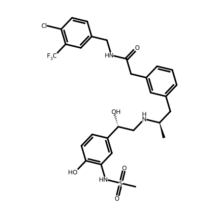 C[C@H](Cc1cccc(CC(=O)NCc2ccc(Cl)c(C(F)(F)F)c2)c1)NC[C@@H](O)c1ccc(O)c(NS(C)(=O)=O)c1